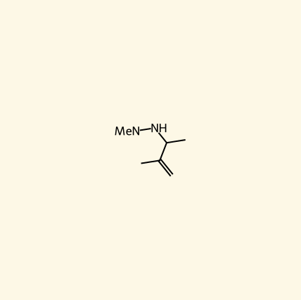 C=C(C)C(C)NNC